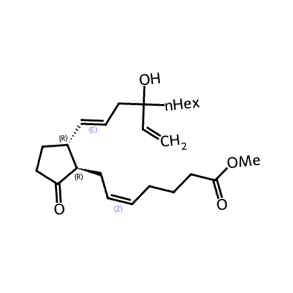 C=CC(O)(C/C=C/[C@H]1CCC(=O)[C@@H]1C/C=C\CCCC(=O)OC)CCCCCC